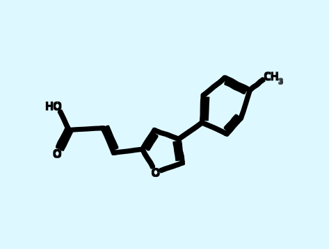 Cc1ccc(-c2coc(C=CC(=O)O)c2)cc1